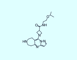 CC(C)OCCNC(=O)C1CN(c2c3c(nc4ccnn24)CCNCC3)C1